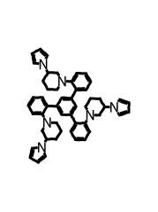 c1ccc(N2CCCC(n3cccc3)C2)c(-c2cc(-c3ccccc3N3CCCC(n4cccc4)C3)cc(-c3ccccc3N3CCCC(n4cccc4)C3)c2)c1